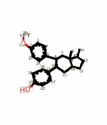 CC(C)Oc1ccc(C2CC3(C)C(C)CCC3CC2c2ccc(O)cc2)cc1